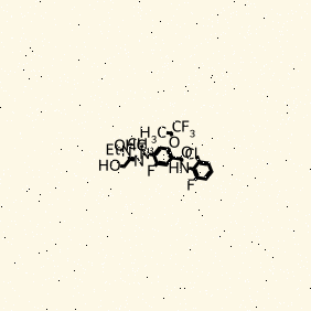 CCN(C)/C(CO)=N\N(C=O)c1cc(OC(C)C(F)(F)F)c(C(=O)Nc2c(F)cccc2Cl)cc1F